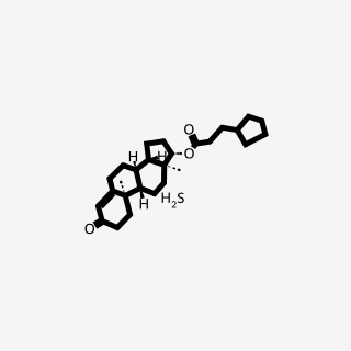 C[C@]12CC[C@H]3[C@@H](CCC4=CC(=O)CC[C@@]43C)[C@@H]1CC[C@@H]2OC(=O)CCC1CCCC1.S